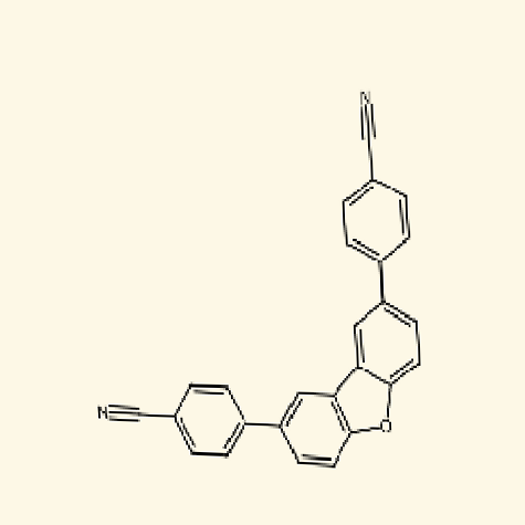 N#Cc1ccc(-c2ccc3oc4ccc(-c5ccc(C#N)cc5)cc4c3c2)cc1